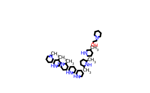 C1CCNCC1.C1CCNCC1.CC1CCCC(C)N1.CC1CCCCN1.CC1CCCNC1.CC1CCNCC1.CN1CCCCC1.OCCN1CCCCC1